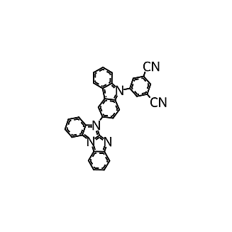 N#Cc1cc(C#N)cc(-n2c3ccccc3c3cc(-n4c5ccccc5n5c6ccccc6nc45)ccc32)c1